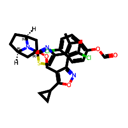 Cc1cc(OC=O)ccc1-c1csc(N2[C@@H]3CC[C@H]2C[C@@H](OCc2c(-c4c(Cl)cccc4Cl)noc2C2CC2)C3)n1